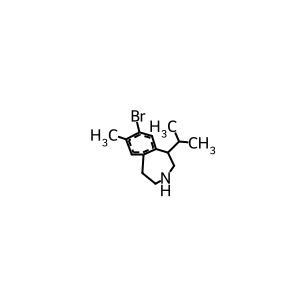 Cc1cc2c(cc1Br)C(C(C)C)CNCC2